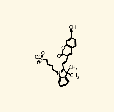 C#Cc1ccc2cc(C=CC3=[N+](CCCCS(=O)(=O)[O-])c4ccccc4C3(C)C)c(=O)oc2c1